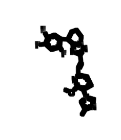 COc1nc(C=Cc2nc3n(n2)CCCC3c2cc(F)c(F)cc2F)ccc1-n1cnc(C)c1